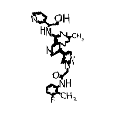 Cc1cn2c(-c3cnn(CC(=O)Nc4cccc(F)c4C)c3)cnc2c(NC(CO)c2cccnc2)n1